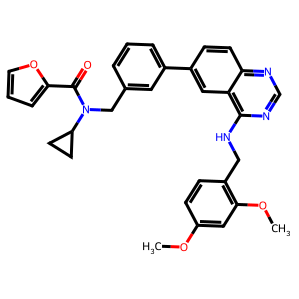 COc1ccc(CNc2ncnc3ccc(-c4cccc(CN(C(=O)c5ccco5)C5CC5)c4)cc23)c(OC)c1